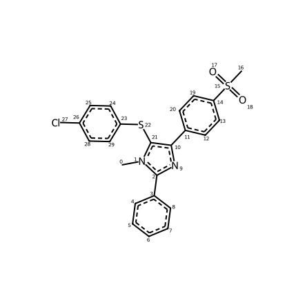 Cn1c(-c2ccccc2)nc(-c2ccc(S(C)(=O)=O)cc2)c1Sc1ccc(Cl)cc1